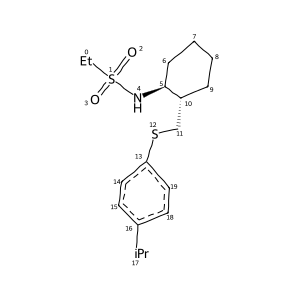 CCS(=O)(=O)N[C@H]1CCCC[C@@H]1CSc1ccc(C(C)C)cc1